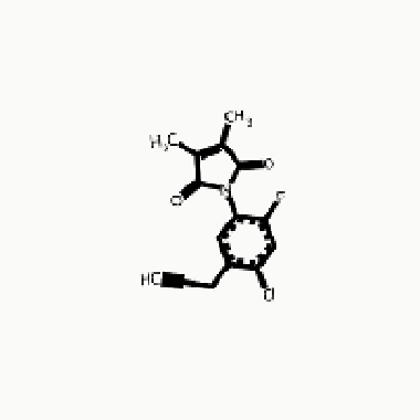 C#CCc1cc(N2C(=O)C(C)=C(C)C2=O)c(F)cc1Cl